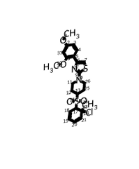 COc1ccc(-c2csc(N3CCC(S(=O)(=O)C4C=CC=CC4(C)Cl)CC3)n2)c(OC)c1